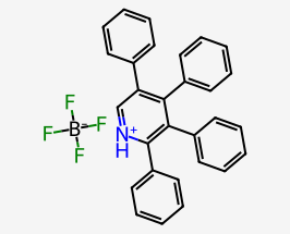 F[B-](F)(F)F.c1ccc(-c2c[nH+]c(-c3ccccc3)c(-c3ccccc3)c2-c2ccccc2)cc1